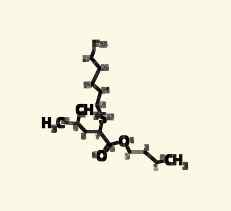 CCCCOC(=O)C(CC(C)C)SCCCCCF